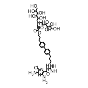 N=C(NCCCCc1ccc(-c2ccc(CCCOC(=O)CCN(C[C@@H](O)[C@H](O)[C@H](O)[C@H](O)CO)C[C@@H](O)[C@@H](O)[C@H](O)[C@H](O)CO)cc2)cc1)NC(=O)c1nc(Cl)c(N)nc1N